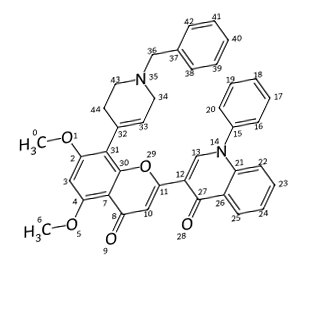 COc1cc(OC)c2c(=O)cc(-c3cn(-c4ccccc4)c4ccccc4c3=O)oc2c1C1=CCN(Cc2ccccc2)CC1